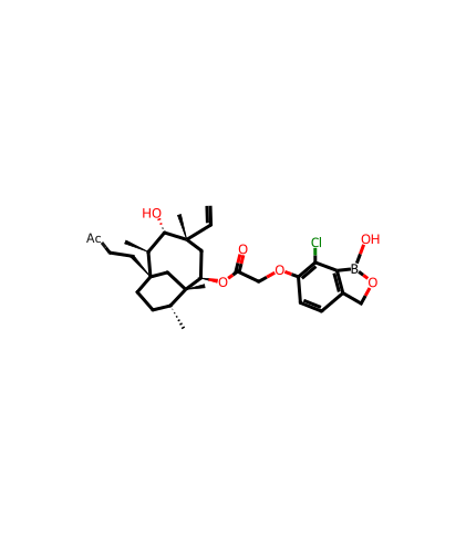 C=C[C@]1(C)C[C@@H](OC(=O)COc2ccc3c(c2Cl)B(O)OC3)[C@@]2(C)C[C@](CCC(C)=O)(CC[C@H]2C)[C@@H](C)[C@@H]1O